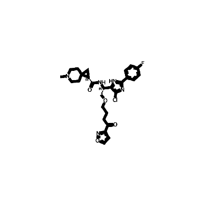 CN1CCC2(CC1)C[C@@H]2C(=O)N[C@@H](COCCCC(=O)c1ccon1)c1[nH]c(-c2ccc(F)cc2)nc1Cl